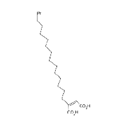 CC(C)CCCCCCCCCCCCC/C(=C/C(=O)O)C(=O)O